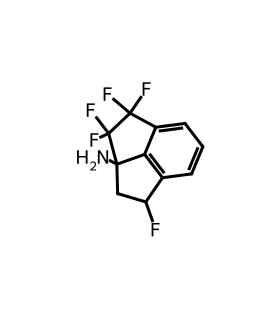 NC12CC(F)c3cccc(c31)C(F)(F)C2(F)F